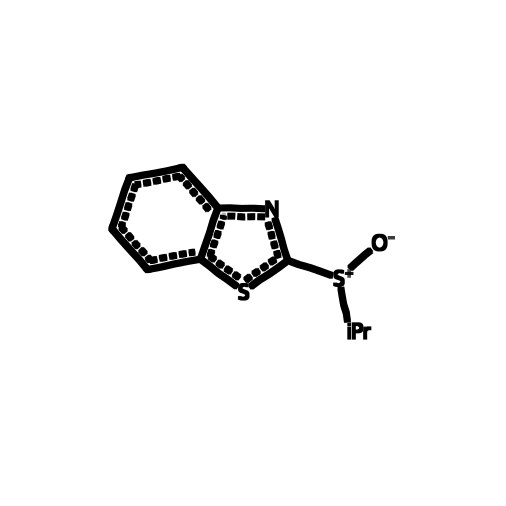 CC(C)[S+]([O-])c1nc2ccccc2s1